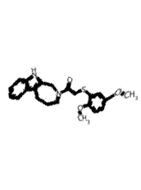 COc1ccc(OC)c(SCC(=O)N2CCCc3c([nH]c4ccccc34)C2)c1